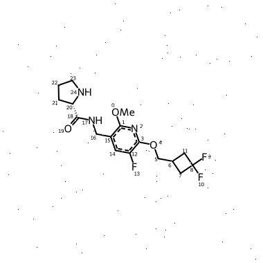 COc1nc(OCC2CC(F)(F)C2)c(F)cc1CNC(=O)[C@@H]1CCCN1